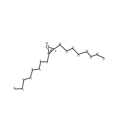 [CH2]CCCCCCCC1=C(CCCCCCCC)O1